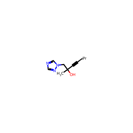 CC(C)C#CC(C)(O)Cn1cncn1